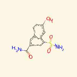 NC(=O)c1cc(S(N)(=O)=O)c2cc(O)ccc2c1